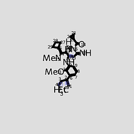 C/C=C(\C=C/CC)c1cccc(N/C(=C/C(=N)NC(=O)C2CC2)C(=N)C(NC)=C2CCC2)c1OC